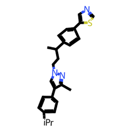 Cc1nn(CCC(C)c2ccc(-c3cncs3)cc2)cc1-c1ccc(C(C)C)cc1